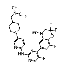 CC(C)N1CC(F)(F)Oc2c(F)cc(-c3nc(Nc4ccc(N5CCC(CN(C)C)CC5)cn4)ncc3F)cc21